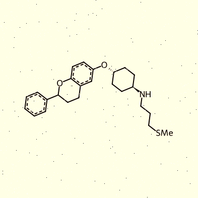 CSCCCN[C@H]1CC[C@H](Oc2ccc3c(c2)CCC(c2ccccc2)O3)CC1